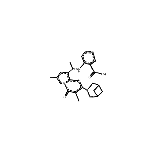 Cc1cc(C(C)Nc2ccccc2C(=O)O)c2nc(N3CC4CC(C4)C3)c(C)c(=O)n2c1